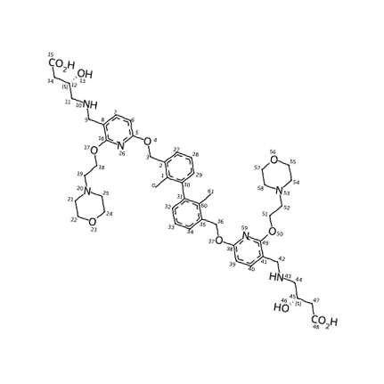 Cc1c(COc2ccc(CNC[C@@H](O)CC(=O)O)c(OCCN3CCOCC3)n2)cccc1-c1cccc(COc2ccc(CNC[C@@H](O)CC(=O)O)c(OCCN3CCOCC3)n2)c1C